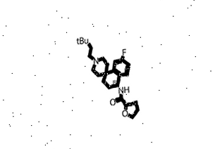 CC(C)(C)CCN1CCC2(CC[C@@H](NC(=O)C3CCCO3)c3ccc(F)cc32)CC1